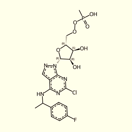 CC(Nc1nc(Cl)nc2c1cnn2[C@@H]1O[C@H](COOP(C)(=O)O)[C@@H](O)[C@H]1O)c1ccc(F)cc1